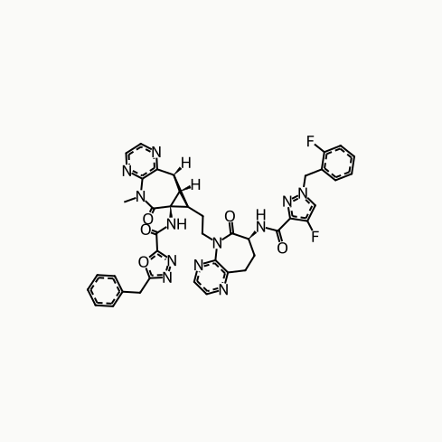 CN1C(=O)[C@]2(NC(=O)c3nnc(Cc4ccccc4)o3)[C@@H]3[C@H](c4nccnc41)C32CCN1C(=O)[C@@H](NC(=O)c2nn(Cc3ccccc3F)cc2F)CCc2nccnc21